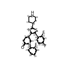 O=c1ccc(-c2nc(C3CCNCC3)sc2-c2ccc(F)cc2F)cn1-c1ccccc1F